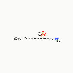 CCCCCCCCCCCCCCCCCCCCCCCCCCCCCCCCCC[N+](C)(C)CC.Cc1ccc(S(=O)(=O)[O-])cc1